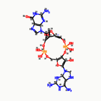 NC1=C2NCN(c3oc4c(c3O)O[PH](O)(O)O/C=C3/OC(n5cnc6c(=O)[nH]c(N)nc65)=C(O[PH](O)(O)OC4)[C@@H]3O)C2NC(N)N1